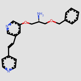 N[C@@H](COCc1ccccc1)COc1cncc(C=Cc2ccncc2)c1